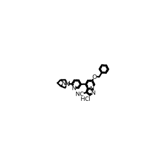 Cl.N#Cc1cnn2cc(OCc3ccccc3)cc(-c3ccc(N4CC5CC(C4)N5)nc3)c12